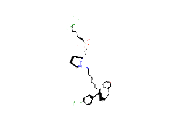 O=S(=O)(CCCCC(F)(F)F)CCC[C@@H]1CCCN1CCCCCCC1=C(c2ccc(F)cc2)CCCc2cc(O)ccc21